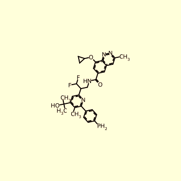 Cc1cc2cc(C(=O)NCC(c3cc(C(C)(C)O)c(C)c(-c4ccc(P)cc4)n3)C(F)F)cc(OC3CC3)c2nn1